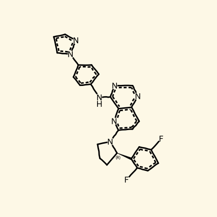 Fc1ccc(F)c([C@H]2CCCN2c2ccc3ncnc(Nc4ccc(-n5cccn5)cc4)c3n2)c1